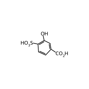 O=C(O)c1ccc(S(=O)(=O)O)c(O)c1